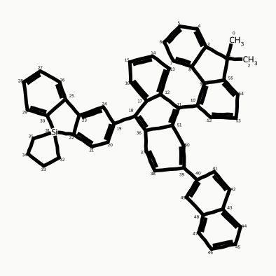 CC1(C)c2ccccc2-c2c(-c3c4ccccc4c(-c4ccc5c(c4)-c4ccccc4[Si]54CCCC4)c4ccc(-c5ccc6ccccc6c5)cc34)cccc21